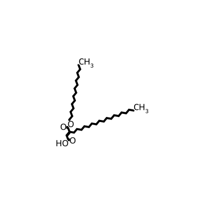 CCCCCCCCCCCCCCCCCC/C(=C\C(=O)O)C(=O)OCCCCCCCCCCCCCCCC